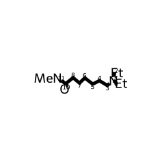 CCN(CC)CCCCCCC(=O)NC